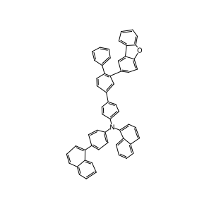 c1ccc(-c2ccc(-c3ccc(N(c4ccc(-c5cccc6ccccc56)cc4)c4cccc5ccccc45)cc3)cc2-c2ccc3oc4ccccc4c3c2)cc1